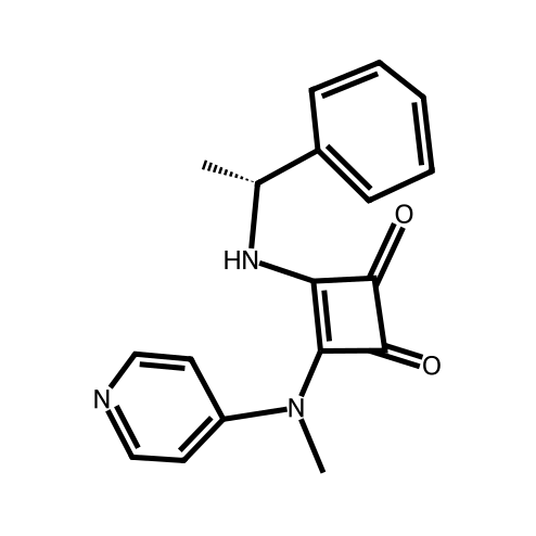 C[C@@H](Nc1c(N(C)c2ccncc2)c(=O)c1=O)c1ccccc1